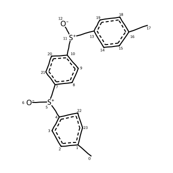 Cc1ccc([S+]([O-])c2ccc([S+]([O-])c3ccc(C)cc3)cc2)cc1